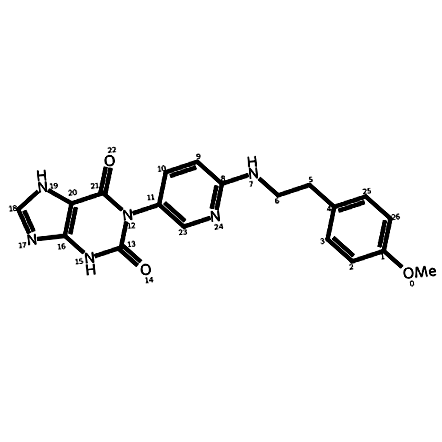 COc1ccc(CCNc2ccc(-n3c(=O)[nH]c4nc[nH]c4c3=O)cn2)cc1